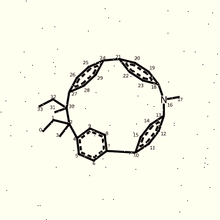 CCC1(C)c2ccc(cc2)-c2ccc(cc2)N(C)c2ccc(cc2)-c2ccc(cc2)C1(C)CC